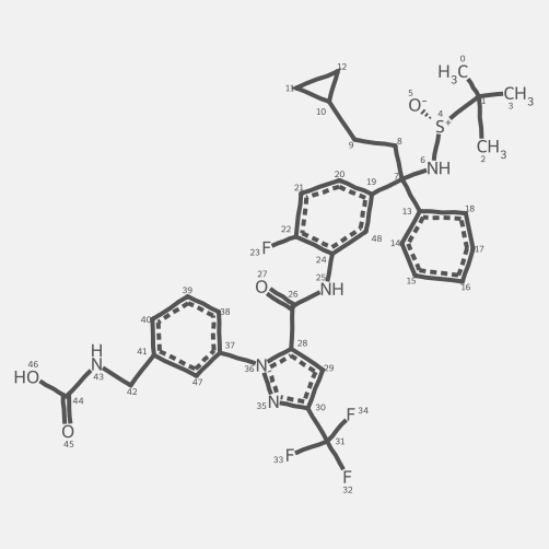 CC(C)(C)[S@@+]([O-])NC(CCC1CC1)(c1ccccc1)c1ccc(F)c(NC(=O)c2cc(C(F)(F)F)nn2-c2cccc(CNC(=O)O)c2)c1